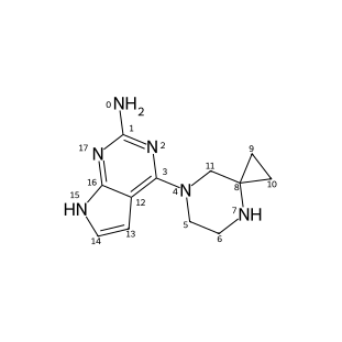 Nc1nc(N2CCNC3(CC3)C2)c2cc[nH]c2n1